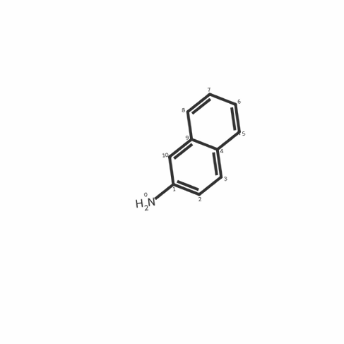 Nc1ccc2[c]cccc2c1